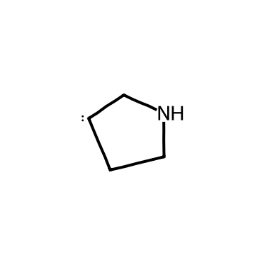 [C]1CCNC1